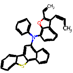 C=Cc1oc2c(N(c3ccccc3)c3cc4c5ccccc5sc4c4ccccc34)cccc2c1/C=C\C